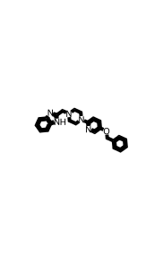 c1ccc(COc2ccc(N3CCN(Cc4nc5ccccc5[nH]4)CC3)nc2)cc1